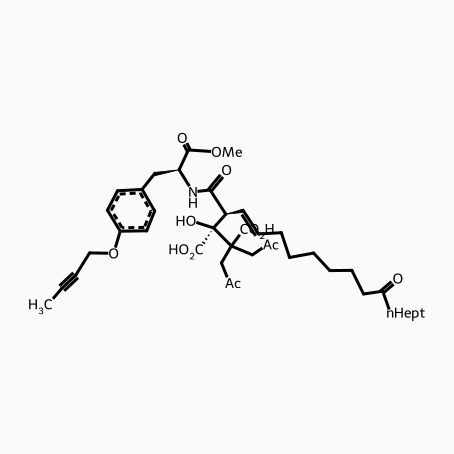 CC#CCOc1ccc(C[C@H](NC(=O)[C@@H](C=CCCCCCCC(=O)CCCCCCC)[C@@](O)(C(=O)O)C(CC(C)=O)(CC(C)=O)C(=O)O)C(=O)OC)cc1